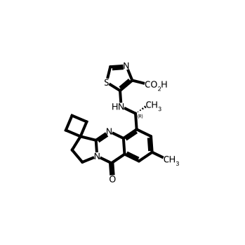 Cc1cc([C@@H](C)Nc2scnc2C(=O)O)c2nc3n(c(=O)c2c1)CCC31CCC1